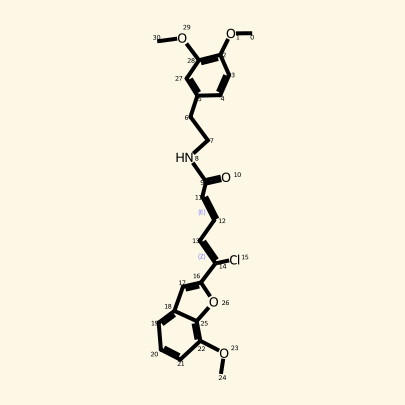 COc1ccc(CCNC(=O)/C=C/C=C(\Cl)c2cc3cccc(OC)c3o2)cc1OC